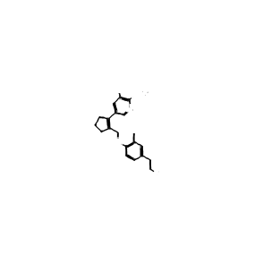 COc1ncc(C2=C(COc3ccc(CCC(C)=O)cc3C)CCC2)cc1F